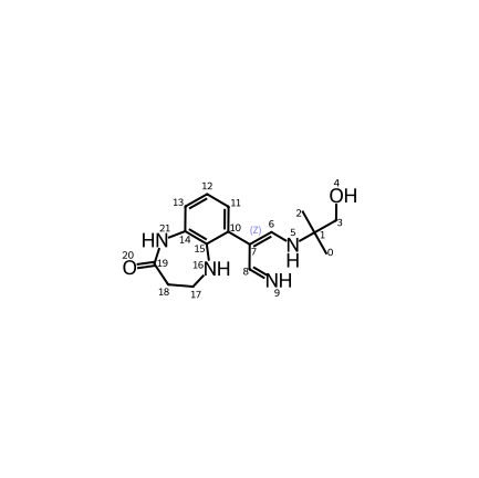 CC(C)(CO)N/C=C(\C=N)c1cccc2c1NCCC(=O)N2